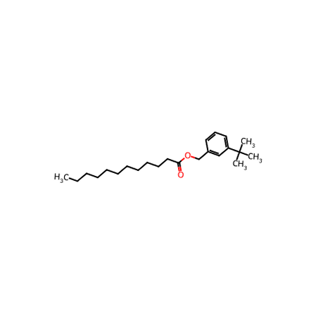 CCCCCCCCCCCC(=O)OCc1cccc(C(C)(C)C)c1